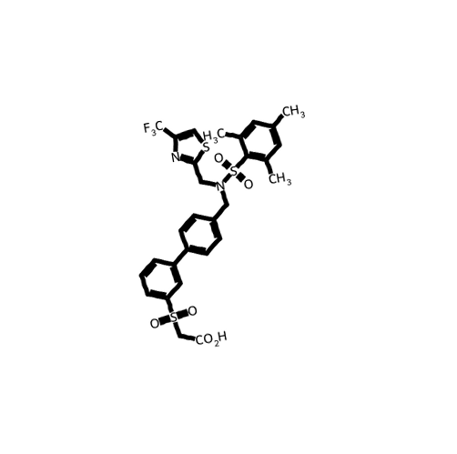 Cc1cc(C)c(S(=O)(=O)N(Cc2ccc(-c3cccc(S(=O)(=O)CC(=O)O)c3)cc2)Cc2nc(C(F)(F)F)cs2)c(C)c1